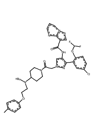 CCCCN(CCOc1ccc(C)cc1)C1CCN(C(=O)Cn2cc(NC(=O)c3cnn4cccnc34)c(-c3cc(Cl)ccc3OC(F)F)n2)CC1